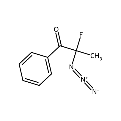 CC(F)(N=[N+]=[N-])C(=O)c1ccccc1